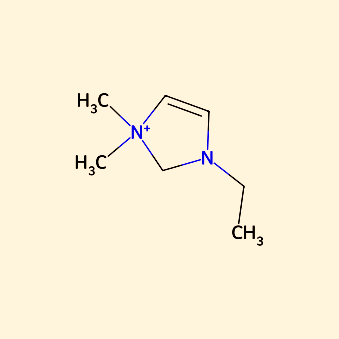 CCN1C=C[N+](C)(C)C1